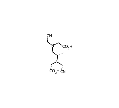 C[C@@H](CN(CC#N)CC(=O)O)N(CC#N)CC(=O)O